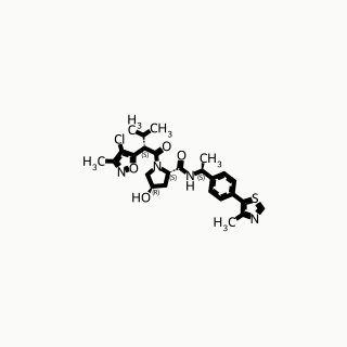 Cc1ncsc1-c1ccc([C@H](C)NC(=O)[C@@H]2C[C@@H](O)CN2C(=O)[C@H](c2onc(C)c2Cl)C(C)C)cc1